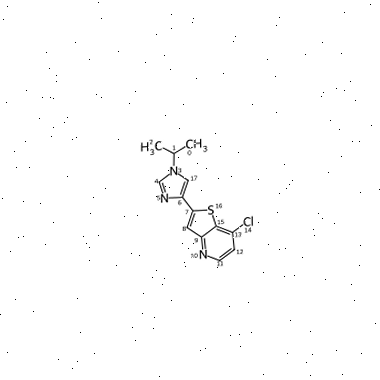 CC(C)n1cnc(-c2cc3nccc(Cl)c3s2)c1